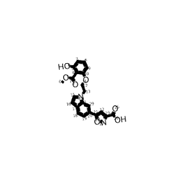 COC(=O)c1c(O)cccc1OCCn1ccc2ccc(-c3cc(C(=O)O)no3)cc21